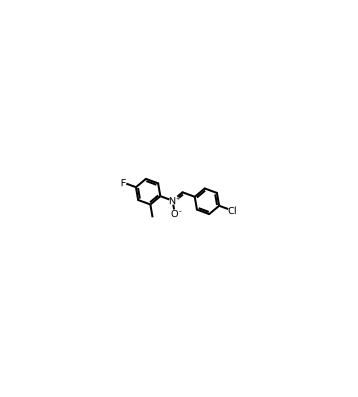 Cc1cc(F)ccc1[N+]([O-])=Cc1ccc(Cl)cc1